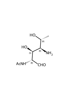 CC(=O)N[C@@H](C=O)[C@@H](O)[C@H](N)[C@@H](C)O